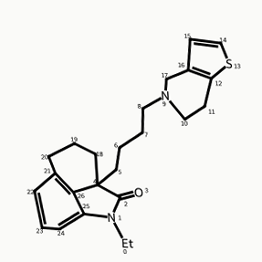 CCN1C(=O)C2(CCCCN3CCc4sccc4C3)CCCc3cccc1c32